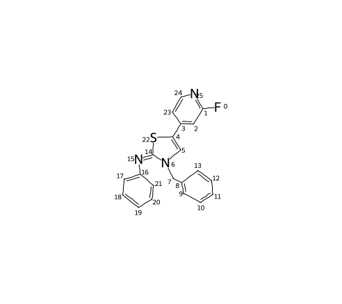 Fc1cc(-c2cn(Cc3ccccc3)/c(=N\c3ccccc3)s2)ccn1